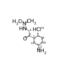 CN(C)NCC(=O)c1cccc(N)c1.Cl